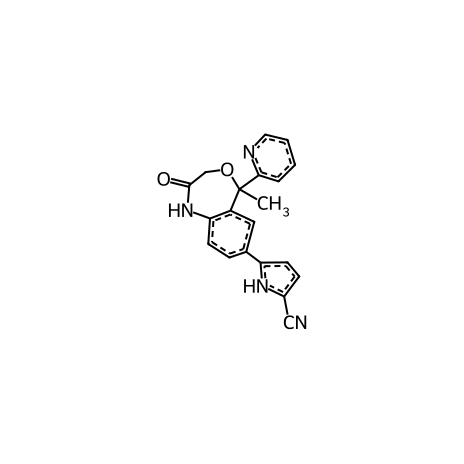 CC1(c2ccccn2)OCC(=O)Nc2ccc(-c3ccc(C#N)[nH]3)cc21